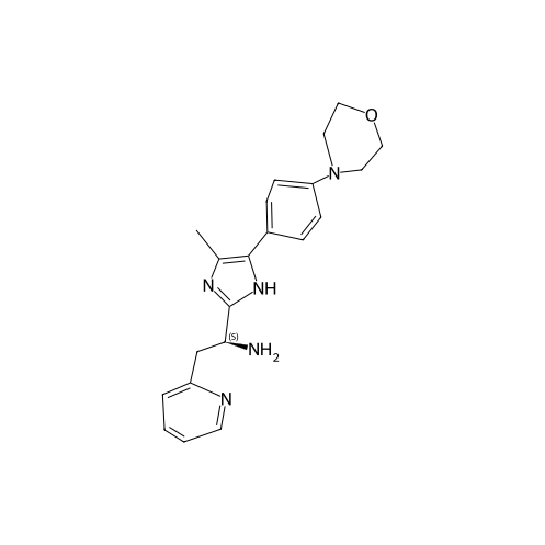 Cc1nc([C@@H](N)Cc2ccccn2)[nH]c1-c1ccc(N2CCOCC2)cc1